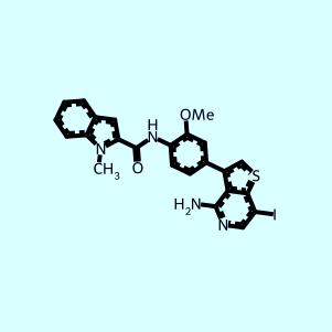 COc1cc(-c2csc3c(I)cnc(N)c23)ccc1NC(=O)c1cc2ccccc2n1C